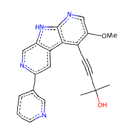 COc1cnc2[nH]c3cnc(-c4cccnc4)cc3c2c1C#CC(C)(C)O